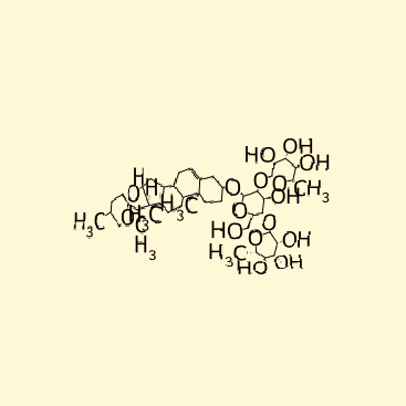 CC1CC[C@@]2(OC1)O[C@H]1CC3C4CC=C5C[C@@H](O[C@@H]6O[C@H](CO)[C@@H](O[C@@H]7O[C@@H](C)[C@H](O)[C@@H](O)[C@H]7O)[C@H](O)[C@H]6O[C@@H]6O[C@@H](C)[C@H](O)[C@@H](O)[C@H]6O)CC[C@]5(C)C4CC[C@]3(C)[C@H]1[C@@H]2C